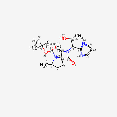 CC1CCC2(C(=O)N(C(c3ncccn3)[C@@H](C)O)C2C)N1C(=O)OC(C)(C)C